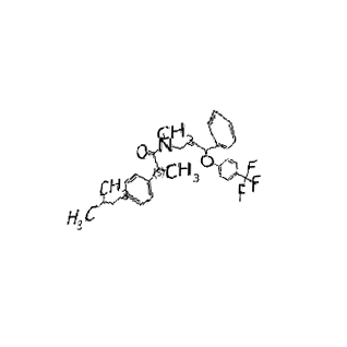 CC(C)Cc1ccc([C@H](C)C(=O)N(C)CCC(Oc2ccc(C(F)(F)F)cc2)c2ccccc2)cc1